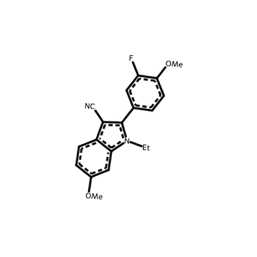 CCn1c(-c2ccc(OC)c(F)c2)c(C#N)c2ccc(OC)cc21